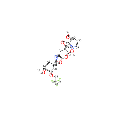 COC(=O)C(Cc1coc(-c2ccc(OC)c(OCC(F)(F)F)c2)n1)C(=O)c1ncccc1OC